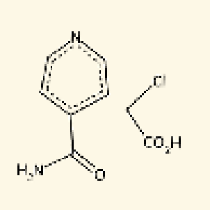 NC(=O)c1ccncc1.O=C(O)CCl